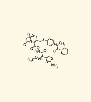 CO/N=C(\C(=O)NOC(=O)C1=C(CSc2cc[n+](N(C)C(=O)c3ccccc3)cc2)CS[C@H]2CC(=O)N12)c1csc(N)n1